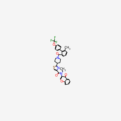 CCN(C(=O)c1csc(C2CCN(C(=O)c3cccc(C)c3-c3ccc(OC(F)(F)F)cc3)CC2)n1)c1coc2ccccc2c1=O